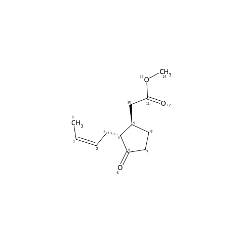 C/C=C\C[C@H]1C(=O)CC[C@@H]1CC(=O)OC